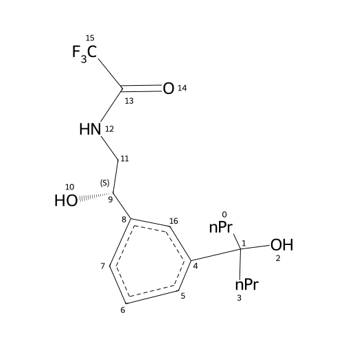 CCCC(O)(CCC)c1cccc([C@H](O)CNC(=O)C(F)(F)F)c1